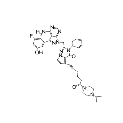 CC(C)N1CCN(C(=O)CCCC#Cc2ccn3nc(Cn4nc(-c5cc(O)cc(F)c5)c5c(N)ncnc54)n(-c4ccccc4)c(=O)c23)CC1